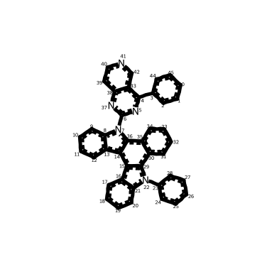 c1ccc(-c2nc(-n3c4ccccc4c4c5c6ccccc6n(-c6ccccc6)c5c5ccccc5c43)nc3ccncc23)cc1